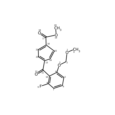 COCOc1cccc(F)c1C(=O)c1ccc(C(=O)OC)cc1